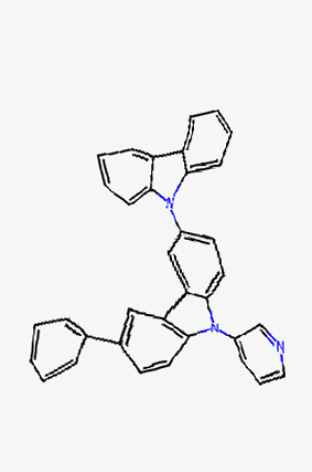 c1ccc(-c2ccc3c(c2)c2cc(-n4c5ccccc5c5ccccc54)ccc2n3-c2cccnc2)cc1